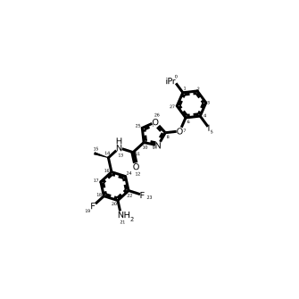 CC(C)c1ccc(I)c(Oc2nc(C(=O)N[C@H](C)c3cc(F)c(N)c(F)c3)co2)c1